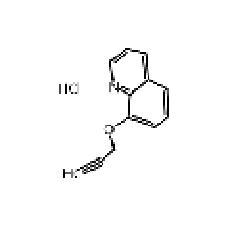 C#CCOc1cccc2cccnc12.Cl